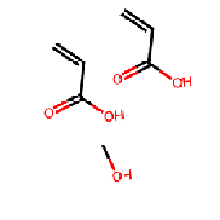 C=CC(=O)O.C=CC(=O)O.CO